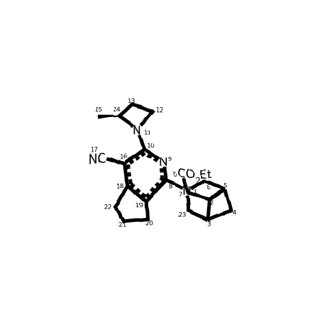 CCOC(=O)CC1C2CC1CN(c1nc(N3CC[C@@H]3C)c(C#N)c3c1CCC3)C2